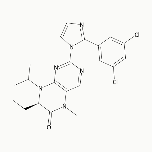 CC[C@@H]1C(=O)N(C)c2cnc(-n3ccnc3-c3cc(Cl)cc(Cl)c3)nc2N1C(C)C